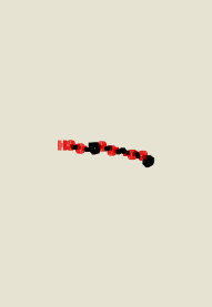 OCCOCCc1ccc(OCCOCCCCCOCCOc2ccccc2)cc1